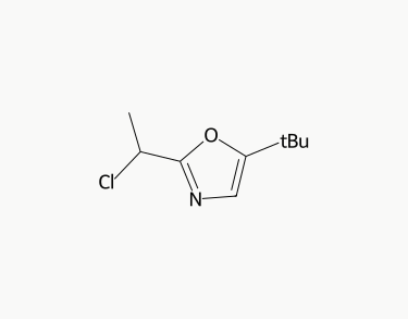 CC(Cl)c1ncc(C(C)(C)C)o1